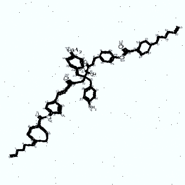 C=CCCCCC1CCC(C(=O)Oc2ccc(C=CC(=O)CC(Cc3ccc(N)cc3)(Cc3ccc(N)cc3)C(O)(O)C(=O)C=Cc3ccc(OC(=O)C4CCC(CCCCC=C)CC4)cc3)cc2)CC1